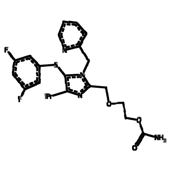 CC(C)c1nc(COCCOC(N)=O)n(Cc2ccccn2)c1Sc1cc(F)cc(F)c1